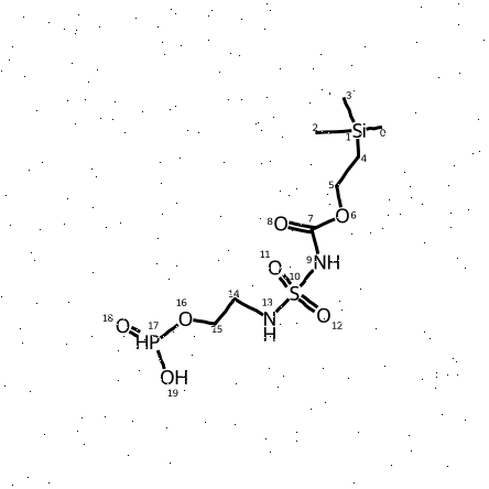 C[Si](C)(C)CCOC(=O)NS(=O)(=O)NCCO[PH](=O)O